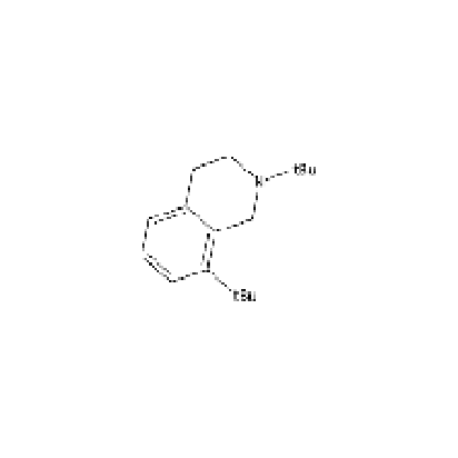 CC(C)(C)c1cccc2c1CN(C(C)(C)C)CC2